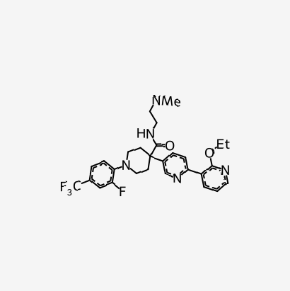 CCOc1ncccc1-c1ccc(C2(C(=O)NCCNC)CCN(c3ccc(C(F)(F)F)cc3F)CC2)cn1